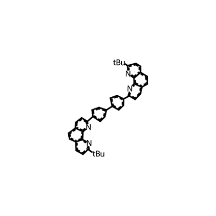 CC(C)(C)c1ccc2ccc3ccc(-c4ccc(-c5ccc(-c6ccc7ccc8ccc(C(C)(C)C)nc8c7n6)cc5)cc4)nc3c2n1